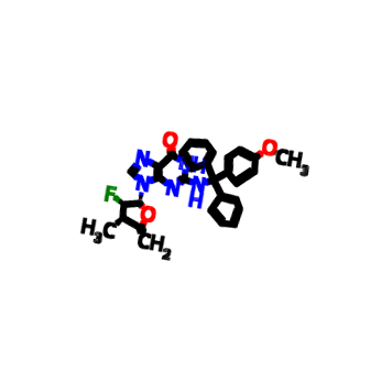 C=C1O[C@@H](n2cnc3c(=O)[nH]c(NC(c4ccccc4)(c4ccccc4)c4ccc(OC)cc4)nc32)[C@H](F)[C@@H]1C